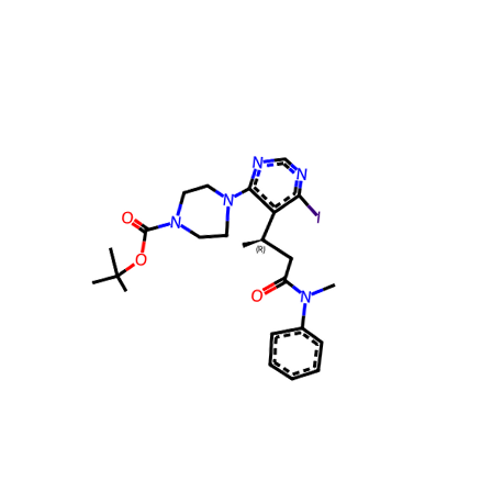 C[C@H](CC(=O)N(C)c1ccccc1)c1c(I)ncnc1N1CCN(C(=O)OC(C)(C)C)CC1